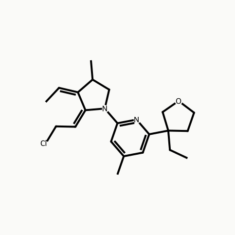 C/C=C1\C(=C/CCl)N(c2cc(C)cc(C3(CC)CCOC3)n2)CC1C